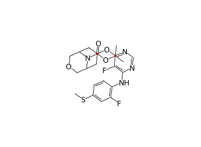 CSc1ccc(Nc2ncnc(OC3CC4COCC(C3)N4C(=O)OC(C)C)c2F)c(F)c1